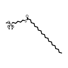 CCCCCCCCCCCCCCCCCCCC(=O)SCCCCC[Si](OC)(OC)OC